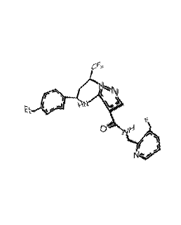 CCc1ccc([C@H]2C[C@@H](C(F)(F)F)n3ncc(C(=O)NCc4ncccc4F)c3N2)cc1